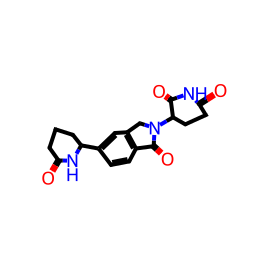 O=C1CCC(N2Cc3cc(C4CCCC(=O)N4)ccc3C2=O)C(=O)N1